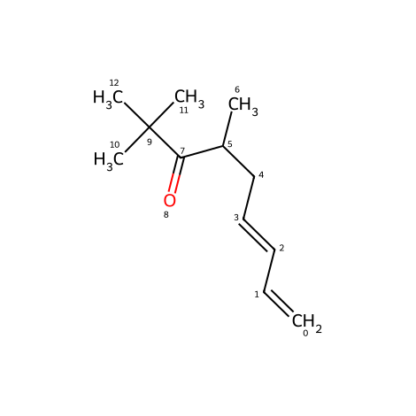 C=CC=CCC(C)C(=O)C(C)(C)C